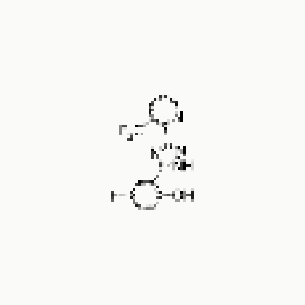 Oc1ccc(F)cc1-c1nc(-c2ncccc2C(F)(F)F)n[nH]1